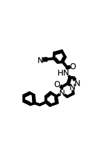 N#Cc1cccc(C(=O)Nc2cnn3c2C(=O)N(c2ccc(Cc4ccccc4)cc2)CC3)c1